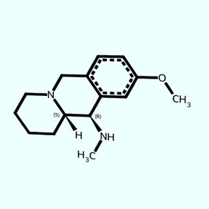 CN[C@@H]1c2cc(OC)ccc2CN2CCCC[C@@H]12